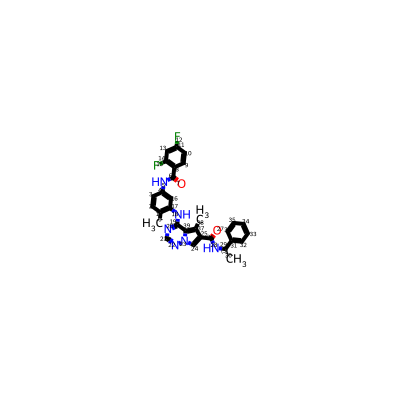 Cc1ccc(NC(=O)c2ccc(F)cc2F)cc1Nc1ncnn2cc(C(=O)N[C@@H](C)c3ccccc3)c(C)c12